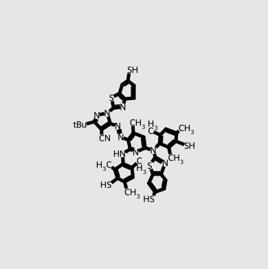 Cc1cc(C)c(Nc2nc(N(c3nc4ccc(S)cc4s3)c3c(C)cc(C)c(S)c3C)cc(C)c2N=Nc2c(C#N)c(C(C)(C)C)nn2-c2nc3ccc(S)cc3s2)c(C)c1S